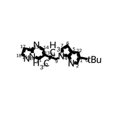 CC(C)(C)c1cnc2c(ccn2CC(C)(C)c2cnc3ccnn3c2)c1